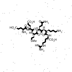 CSCC[C@H](NC(=O)[C@H](CCC(=O)O)NC(=O)[C@@H](N)CCC(=O)O)C(=O)N[C@@H](CCC(N)=O)C(=O)N[C@@H](CCCCN)C(=O)N[C@@H](CCCNC(=N)N)C(=O)O